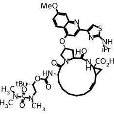 COc1ccc2c(O[C@@H]3C[C@H]4C(=O)N[C@]5(C(=O)O)CC5/C=C\CCCCC[C@H](NC(=O)O[C@H](CN(C)S(=O)(=O)N(C)C)C(C)(C)C)C(=O)N4C3)cc(-c3csc(NC(C)C)n3)nc2c1